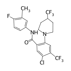 Cc1cc(NC(=O)c2cc(Cl)c(C(F)(F)F)cc2N2CCC(C(F)(F)F)CC2)ccc1F